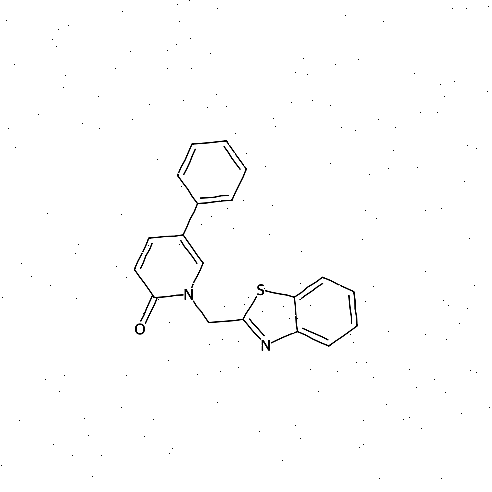 O=c1ccc(-c2ccccc2)cn1Cc1nc2ccccc2s1